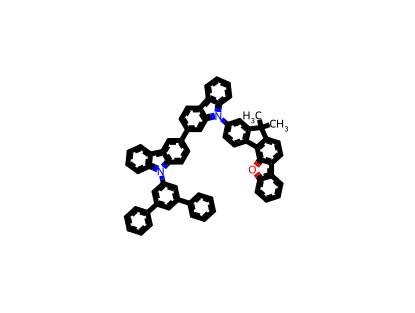 CC1(C)c2cc(-n3c4ccccc4c4ccc(-c5ccc6c(c5)c5ccccc5n6-c5cc(-c6ccccc6)cc(-c6ccccc6)c5)cc43)ccc2-c2c1ccc1c2oc2ccccc21